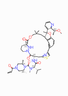 C=CC(=O)N1C[C@@H](C)N(C(=O)N(C)[C@H](C(=O)N[C@H]2Cc3nc(cs3)-c3ccc4c(c3)C(CC(C)(C)COC(=O)[C@@H]3CCCN(N3)C2=O)C(C)(c2cccnc2[C@H](C)OC)O4)C(C)C)[C@H](C)C1